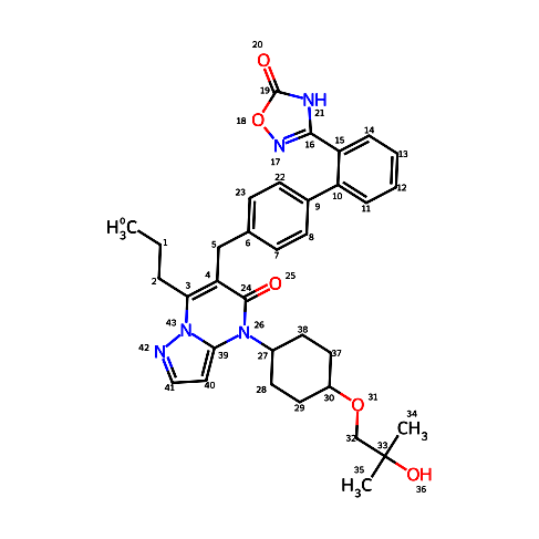 CCCc1c(Cc2ccc(-c3ccccc3-c3noc(=O)[nH]3)cc2)c(=O)n(C2CCC(OCC(C)(C)O)CC2)c2ccnn12